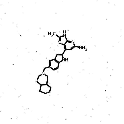 Cc1nc2c(C3Cc4cc(CN5CCC6CCCCC6C5)ccc4N3)cc(N)nc2[nH]1